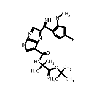 CNc1cc(F)ccc1C(=N)c1cnc2[nH]cc(C(=O)NC(C)(C)C(=O)OC(C)(C)C)c2n1